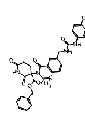 Cc1nc2ccc(CNC(=O)Nc3ccc(Cl)cc3)cc2c(=O)n1C1(C(=O)OCc2ccccc2)CCC(=O)NC1=O